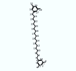 Cc1cc(C)cc(CCCCCCCCCCCCCCCCCCCc2cc(C)cc(C)c2)c1